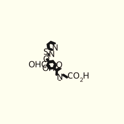 CN(CCC(=O)O)Cc1coc2cc(Oc3nc4ncccc4s3)ccc12.O=CO